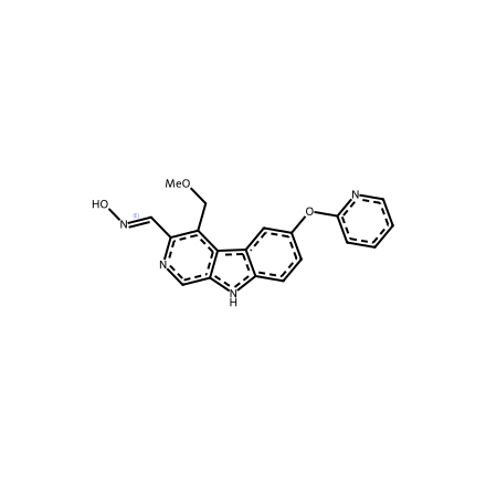 COCc1c(/C=N/O)ncc2[nH]c3ccc(Oc4ccccn4)cc3c12